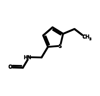 CCc1ccc(CNC=O)s1